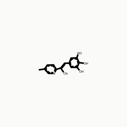 Cc1ccc(/C(C#N)=C/c2cc(O)c(O)c(N=O)c2)nc1